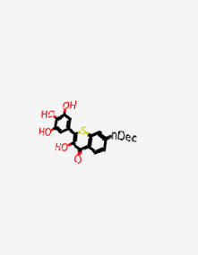 CCCCCCCCCCc1ccc2c(=O)c(O)c(-c3cc(O)c(O)c(O)c3)sc2c1